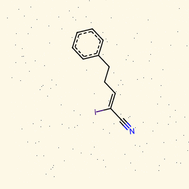 N#CC(I)=CCCc1ccccc1